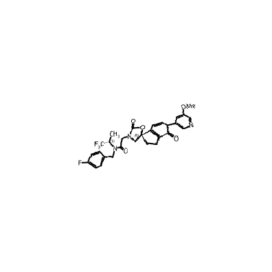 COc1cncc(C2C=CC3=C(CC[C@]34CN(CC(=O)N(Cc3ccc(F)cc3)[C@@H](C)C(F)(F)F)C(=O)O4)C2=O)c1